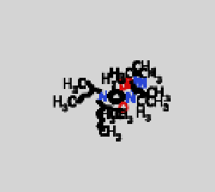 CCCCC(CC)CN(CC(CC)CCCC)c1cc(OC)c(N=C2C(=O)N(C(C)(C)C)N=C2C(C)(C)C)c(OC)c1